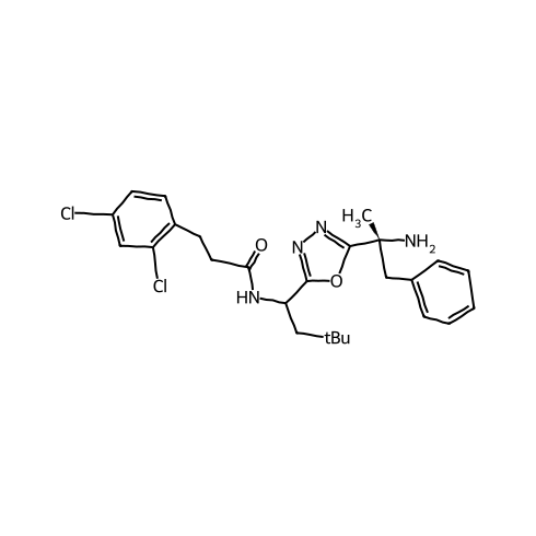 CC(C)(C)CC(NC(=O)CCc1ccc(Cl)cc1Cl)c1nnc([C@](C)(N)Cc2ccccc2)o1